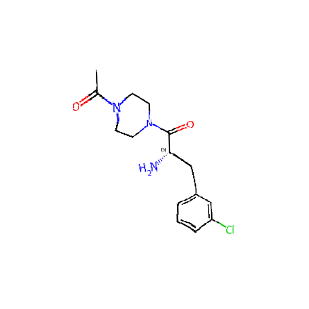 CC(=O)N1CCN(C(=O)[C@@H](N)Cc2cccc(Cl)c2)CC1